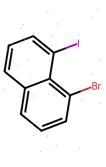 Brc1cccc2cccc(I)c12